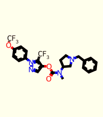 CN(C(=O)Oc1cnn(-c2ccc(OC(F)(F)F)cc2)c1C(F)(F)F)C1CCN(Cc2ccccc2)C1